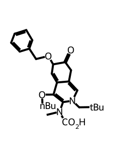 CCCCOC1=C(N(C)C(=O)O)N(CC(C)(C)C)C=C2CC(=O)C(OCc3ccccc3)C=C21